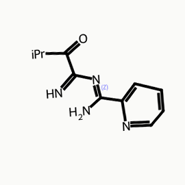 CC(C)C(=O)C(=N)/N=C(\N)c1ccccn1